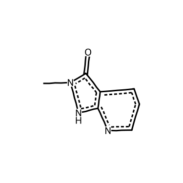 Cn1[nH]c2ncccc2c1=O